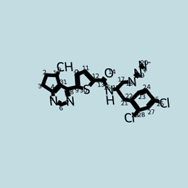 CC1CCc2ncnc(-c3ccc(C(=O)NC(CN=[N+]=[N-])Cc4ccc(Cl)cc4Cl)s3)c21